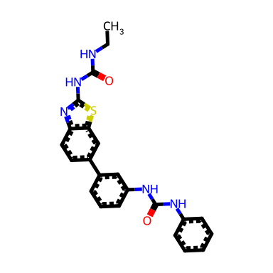 CCNC(=O)Nc1nc2ccc(-c3cccc(NC(=O)Nc4ccccc4)c3)cc2s1